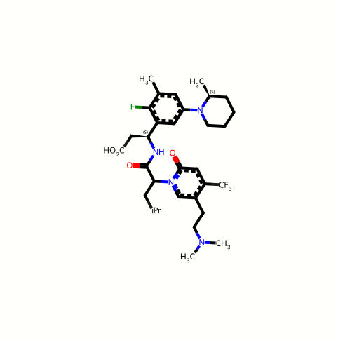 Cc1cc(N2CCCC[C@@H]2C)cc([C@H](CC(=O)O)NC(=O)C(CC(C)C)n2cc(CCN(C)C)c(C(F)(F)F)cc2=O)c1F